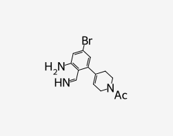 CC(=O)N1CC=C(c2cc(Br)cc(N)c2C=N)CC1